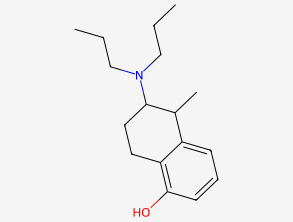 CCCN(CCC)C1CCc2c(O)cccc2C1C